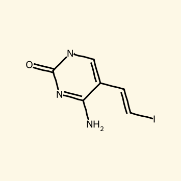 NC1=NC(=O)[N]C=C1C=CI